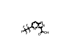 O=C(O)c1nnc2ccc(C(F)(F)C(F)(F)F)nn12